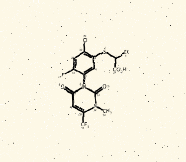 CCC(Sc1cc(-n2c(=O)cc(C(F)(F)F)n(C)c2=O)c(F)cc1Cl)C(=O)O